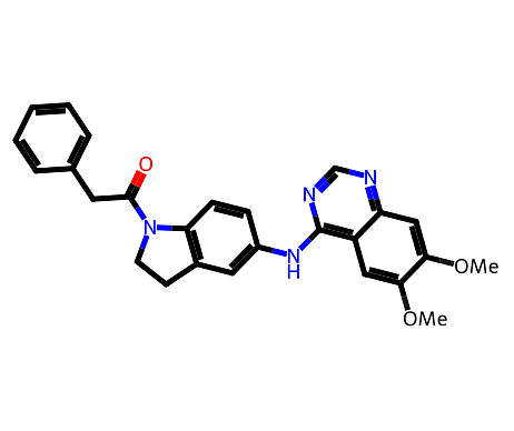 COc1cc2ncnc(Nc3ccc4c(c3)CCN4C(=O)Cc3ccccc3)c2cc1OC